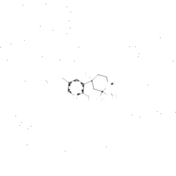 CC1(C)C[C@](F)(c2cc(Cl)cnc2F)CCS1(=O)=O